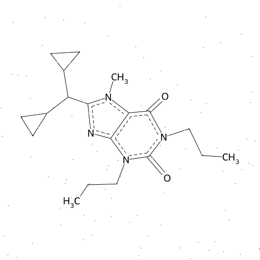 CCCn1c(=O)c2c(nc(C(C3CC3)C3CC3)n2C)n(CCC)c1=O